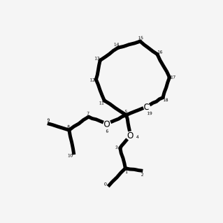 CC(C)COC1(OCC(C)C)CCCCCCCCC1